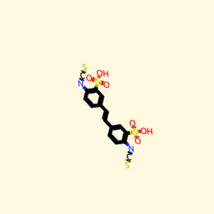 O=S(=O)(O)c1cc(C=Cc2ccc(N=C=S)c(S(=O)(=O)O)c2)ccc1N=C=S